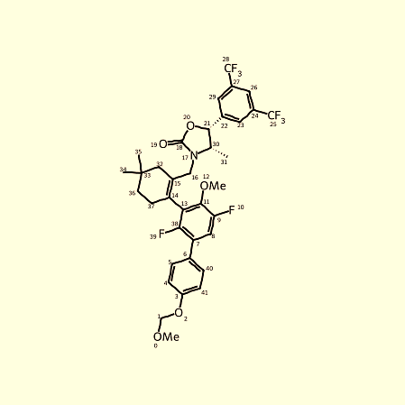 COCOc1ccc(-c2cc(F)c(OC)c(C3=C(CN4C(=O)O[C@H](c5cc(C(F)(F)F)cc(C(F)(F)F)c5)[C@@H]4C)CC(C)(C)CC3)c2F)cc1